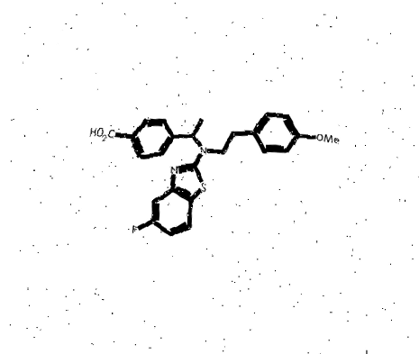 COc1ccc(CCN(c2nc3cc(F)ccc3s2)C(C)c2ccc(C(=O)O)cc2)cc1